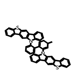 CC1C=C(n2c3ccccc3c3cc4sc5ccccc5c4cc32)C(c2ccccc2-n2c3ccccc3c3cc4sc5ccccc5c4cc32)=CC1